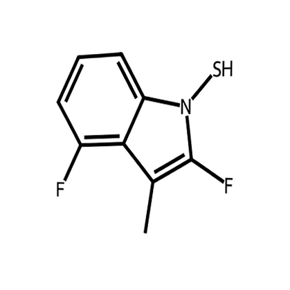 Cc1c(F)n(S)c2cccc(F)c12